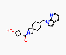 O=C([C@H]1C[C@@H](O)C1)N1CC2(CCC(Cn3ccc4cccnc43)CC2)C1